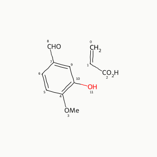 C=CC(=O)O.COc1ccc(C=O)cc1O